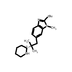 Cn1c(C(C)(C)C)nc2ccc(CC(C)(C)[C@H]3CCCCN3)cc21